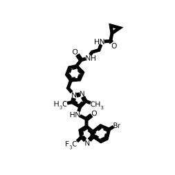 Cc1nn(Cc2ccc(C(=O)NCCNC(=O)C3CC3)cc2)c(C)c1NC(=O)c1cc(C(F)(F)F)nc2ccc(Br)cc12